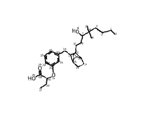 CCCCC(C)(C)C(O)CCC1C2CCC(O2)C1Cc1cccc(OC(CC)C(=O)O)c1